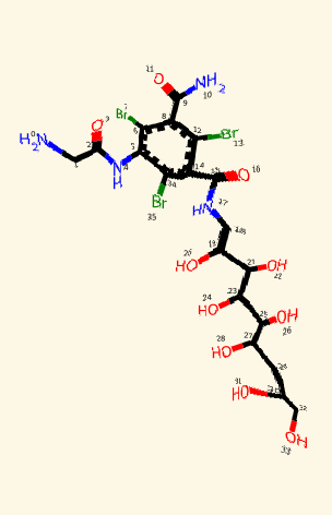 NCC(=O)Nc1c(Br)c(C(N)=O)c(Br)c(C(=O)NCC(O)C(O)C(O)C(O)C(O)CC(O)CO)c1Br